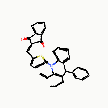 C=CC1=C(/C=C\C)C(c2ccccc2)c2ccccc2N1c1ccc(C=C2C(=O)c3ccccc3C2=O)s1